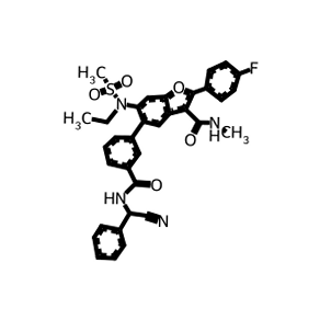 CCN(c1cc2oc(-c3ccc(F)cc3)c(C(=O)NC)c2cc1-c1cccc(C(=O)NC(C#N)c2ccccc2)c1)S(C)(=O)=O